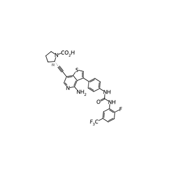 Nc1ncc(C#C[C@@H]2CCCN2C(=O)O)c2scc(-c3ccc(NC(=O)Nc4cc(C(F)(F)F)ccc4F)cc3)c12